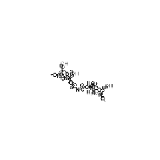 Cc1ccc(N=Nc2c(SOOO)cc3cc(S(=O)(=O)O)c(N=Nc4ccc(S(=O)(=O)CCN(C)CCS(=O)(=O)c5ccc(N=Nc6c(S(=O)(=O)O)cc7cc(SOOO)c(N=Nc8ccc(C)cc8)c(O)c7c6N)cc5)cc4)c(N)c3c2O)cc1